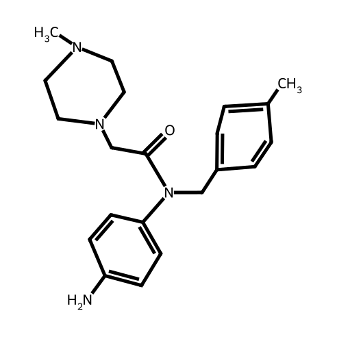 Cc1ccc(CN(C(=O)CN2CCN(C)CC2)c2ccc(N)cc2)cc1